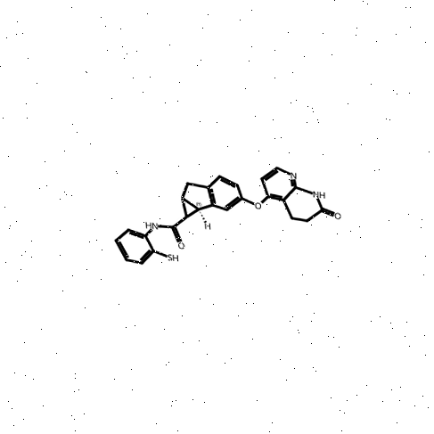 O=C1CCc2c(Oc3ccc4c(c3)[C@@H]3C(C4)C3C(=O)Nc3ccccc3S)ccnc2N1